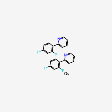 Fc1ccc(-c2ccccn2)c(F)c1.Fc1ccc(-c2ccccn2)c(F)c1.[Os]